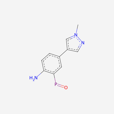 Cn1cc(-c2ccc(N)c(P=O)c2)cn1